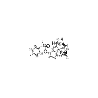 C[C@H](C(=O)Oc1cccc([C@@]2(O)C[C@@H]3CC[C@@H](C3)[C@@H]2CN(C)C)c1)c1ccccc1